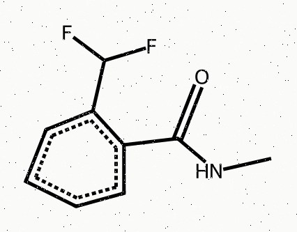 CNC(=O)c1ccccc1C(F)F